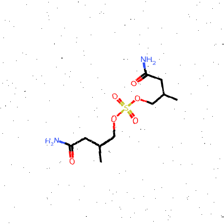 CC(COS(=O)(=O)OCC(C)CC(N)=O)CC(N)=O